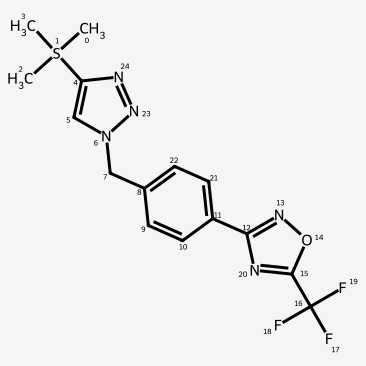 CS(C)(C)c1cn(Cc2ccc(-c3noc(C(F)(F)F)n3)cc2)nn1